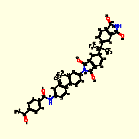 CC(C)C(=O)c1ccc(C(=O)Nc2ccc(-c3ccc(N4C(=O)c5ccc(C(c6ccc7c(c6)C(=O)NC7=O)(C(F)(F)F)C(F)(F)F)cc5C4=O)cc3C(F)(F)F)c(C(F)(F)F)c2)cc1